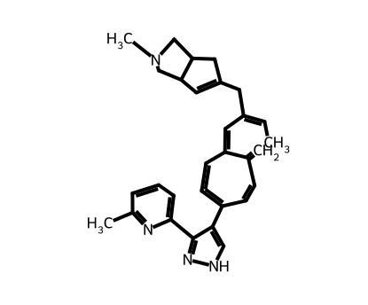 C=C1C=CC(c2c[nH]nc2-c2cccc(C)n2)=C=C/C1=C/C(=C\C)CC1=CC2CN(C)CC2C1